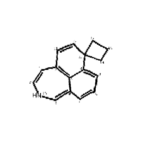 C1=CC2=c3c(cccc3=CN1)C1(C=C2)CCC1